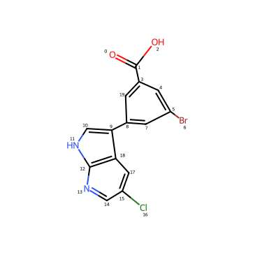 O=C(O)c1cc(Br)cc(-c2c[nH]c3ncc(Cl)cc23)c1